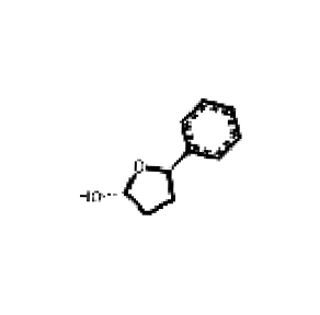 O[C@H]1CC[C@H](c2ccccc2)O1